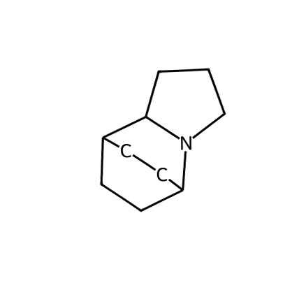 C1CC2C3CCC(CC3)N2C1